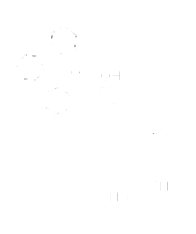 CC(C)CCC[C@H](C)CCOC[C@H](O)COC(c1ccccc1)(c1ccccc1)c1ccccc1